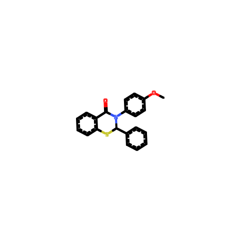 COc1ccc(N2C(=O)c3ccccc3SC2c2ccccc2)cc1